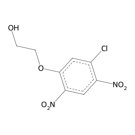 O=[N+]([O-])c1cc([N+](=O)[O-])c(OCCO)cc1Cl